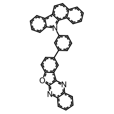 c1cc(-c2ccc3oc4nc5ccccc5nc4c3c2)cc(-n2c3ccccc3c3ccc4ccccc4c32)c1